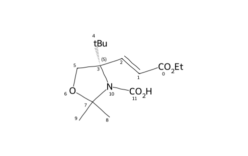 CCOC(=O)C=C[C@]1(C(C)(C)C)COC(C)(C)N1C(=O)O